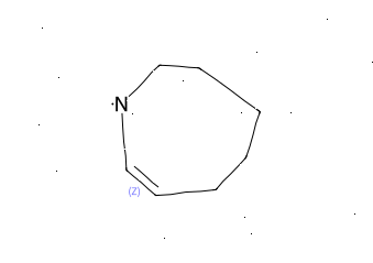 C1=C\[N]CCCCC/1